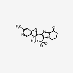 CCS(=O)(=O)c1c(-c2nc3cc(C(F)(F)F)ncc3n2C)nc2n1CCCC2Cl